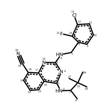 CC(Nc1nc(NCc2cccc(Cl)c2F)nc2c(C#N)cccc12)C(C)(C)C